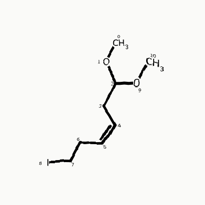 COC(C/C=C\CCI)OC